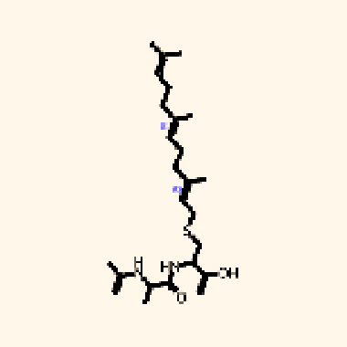 C=C(C)NC(C)C(=O)NC(CSC/C=C(\C)CC/C=C(\C)CCC=C(C)C)C(=C)O